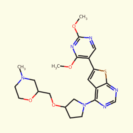 COc1ncc(-c2cc3c(N4CCC(OCC5CN(C)CCO5)C4)ncnc3s2)c(OC)n1